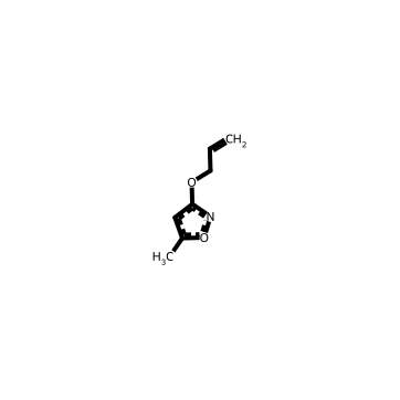 C=CCOc1cc(C)on1